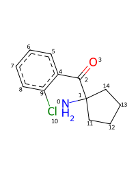 NC1(C(=O)c2ccccc2Cl)CCCC1